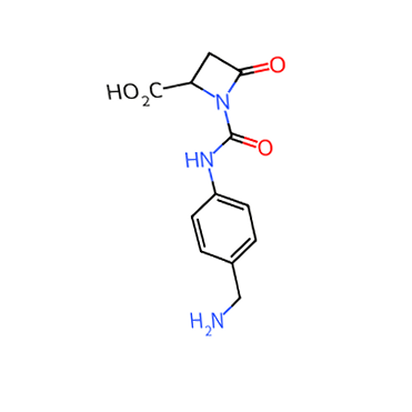 NCc1ccc(NC(=O)N2C(=O)CC2C(=O)O)cc1